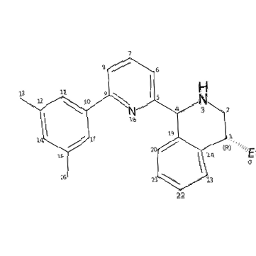 CC[C@H]1CNC(c2cccc(-c3cc(C)cc(C)c3)n2)c2ccccc21